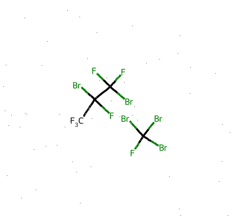 FC(Br)(Br)Br.FC(F)(F)C(F)(Br)C(F)(F)Br